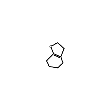 C1CCC2=C(C1)CCO2